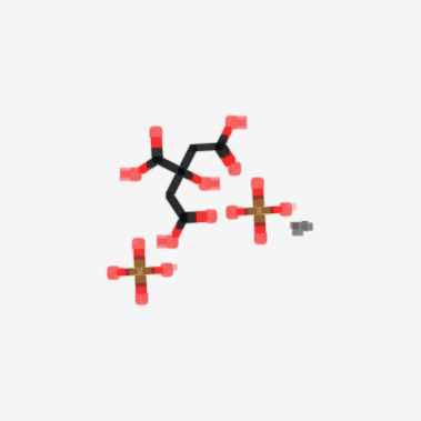 O=C(O)CC(O)(CC(=O)O)C(=O)O.O=S(=O)([O-])[O-].O=S(=O)([O-])[O-].[Ti+4]